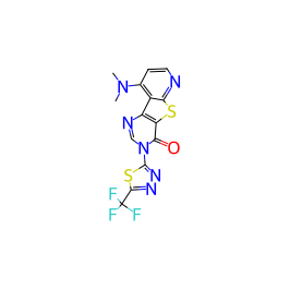 CN(C)c1ccnc2sc3c(=O)n(-c4nnc(C(F)(F)F)s4)cnc3c12